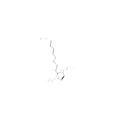 CCCCCCCCCCCCCCCCCCC1N(CCC)C=CN1CCCCCCCCCC